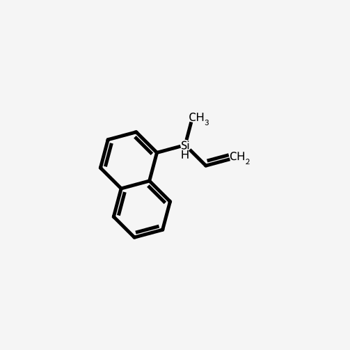 C=C[SiH](C)c1cccc2ccccc12